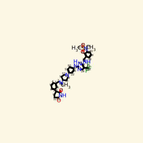 CN(Cc1cccc(C2CCC(=O)NC2=O)c1)C1CCN(c2ccc(Nc3ncc(C(F)(F)F)c(NCc4cccc(N(C)S(C)(=O)=O)c4)n3)cc2)CC1